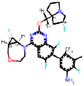 [2H]C([2H])(Oc1nc(N2CCOC[C@H]3[C@H](F)[C@H]32)c2cc(F)c(-c3cc(N)c(F)c(C)c3C(F)(F)F)c(F)c2n1)[C@@]12CCCN1C[C@H](F)C2